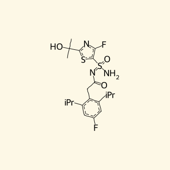 CC(C)c1cc(F)cc(C(C)C)c1CC(=O)N=S(N)(=O)c1sc(C(C)(C)O)nc1F